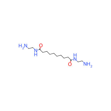 NCCNC(=O)CCCCCCCCC(=O)NCCN